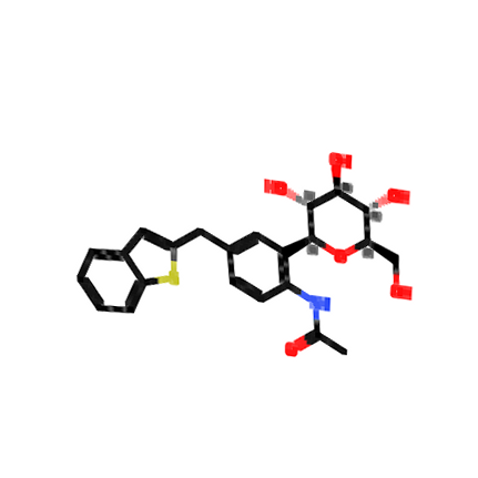 CC(=O)Nc1ccc(Cc2cc3ccccc3s2)cc1[C@@H]1O[C@H](CO)[C@@H](O)[C@H](O)[C@H]1O